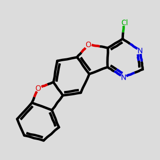 Clc1ncnc2c1oc1cc3oc4ccccc4c3cc12